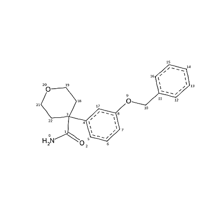 NC(=O)C1(c2cccc(OCc3ccccc3)c2)CCOCC1